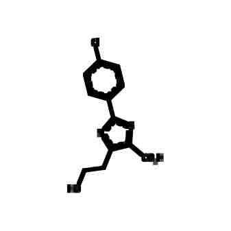 O=C(O)c1sc(-c2ccc(Cl)cc2)nc1CCO